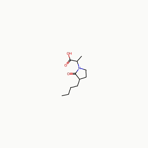 CCCCC1CCN(C(C)C(=O)O)C1=O